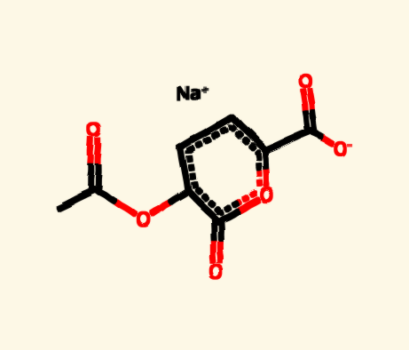 CC(=O)Oc1ccc(C(=O)[O-])oc1=O.[Na+]